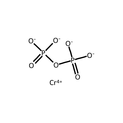 O=P([O-])([O-])OP(=O)([O-])[O-].[Cr+4]